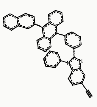 C#Cc1ccc2c(c1)nc(-c1cccc(-c3c4ccccc4c(-c4ccc5ccccc5c4)c4ccccc34)c1)n2-c1ccccc1